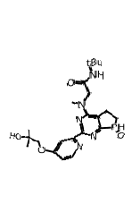 CN(CC(=O)NC(C)(C)C)c1nc(-c2cc(OCC(C)(C)O)ccn2)nc2c1CC[PH]2=O